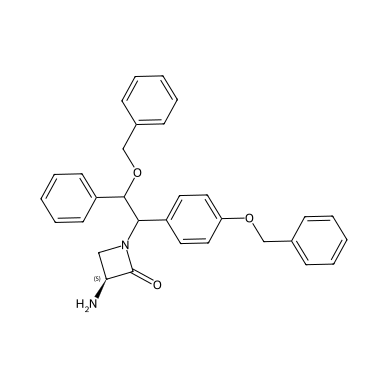 N[C@H]1CN(C(c2ccc(OCc3ccccc3)cc2)C(OCc2ccccc2)c2ccccc2)C1=O